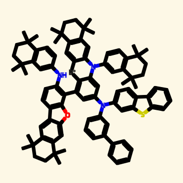 CC1(C)CCC(C)(C)c2cc(Nc3ccc4c(oc5cc6c(cc54)C(C)(C)CCC6(C)C)c3-c3cc(N(c4cccc(-c5ccccc5)c4)c4ccc5c(c4)sc4ccccc45)cc4c3[b+]c3cc5c(cc3n4-c3ccc4c(c3)C(C)(C)CCC4(C)C)C(C)(C)CCC5(C)C)ccc21